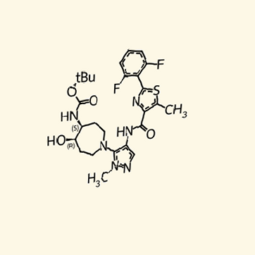 Cc1sc(-c2c(F)cccc2F)nc1C(=O)Nc1cnn(C)c1N1CC[C@@H](O)[C@@H](NC(=O)OC(C)(C)C)CC1